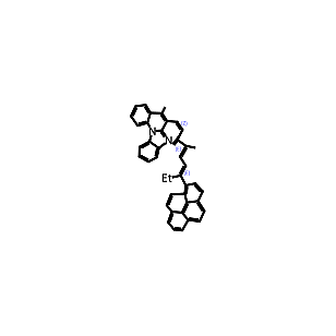 C=C(/C=C\c1c(C)c2ccccc2n2c1nc1ccccc12)/C(C)=C/C=C(\CC)c1ccc2ccc3cccc4ccc1c2c34